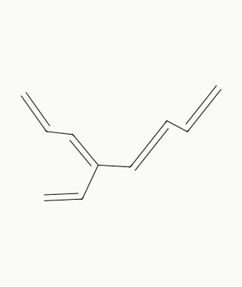 C=CC=CC(C=C)=CC=C